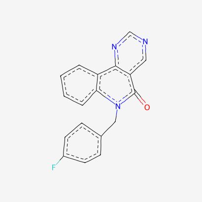 O=c1c2cncnc2c2ccccc2n1Cc1ccc(F)cc1